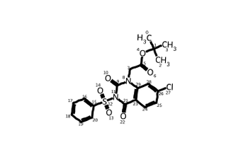 CC(C)(C)OC(=O)Cn1c(=O)n(S(=O)(=O)c2ccccc2)c(=O)c2ccc(Cl)cc21